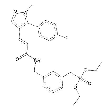 CCOP(=O)(Cc1cccc(CNC(=O)C=Cc2cnn(C)c2-c2ccc(F)cc2)c1)OCC